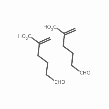 C=C(CCCC=O)C(=O)O.C=C(CCCC=O)C(=O)O